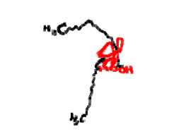 CCCCCCCC/C=C\CCCCCCC(OC(=O)CCCCCCCCCCCCCCC)C(=O)OCC(O)CO